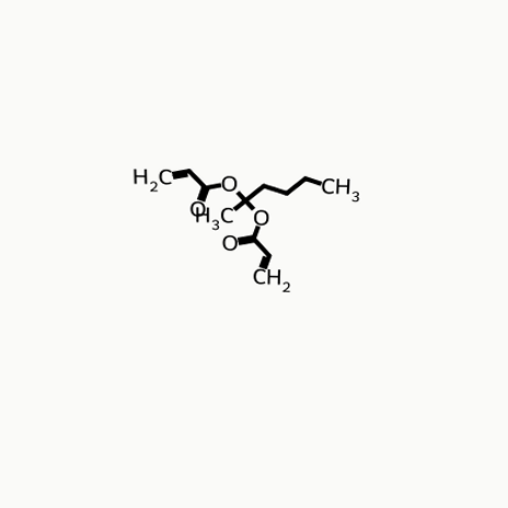 C=CC(=O)OC(C)(CCCC)OC(=O)C=C